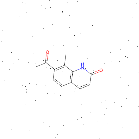 CC(=O)c1ccc2ccc(=O)[nH]c2c1C